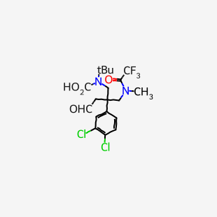 CN(CC(CC=O)(CN(C(=O)O)C(C)(C)C)c1ccc(Cl)c(Cl)c1)C(=O)C(F)(F)F